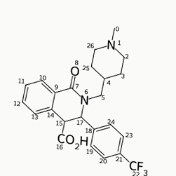 CN1CCC(CN2C(=O)c3ccccc3C(C(=O)O)C2c2ccc(C(F)(F)F)cc2)CC1